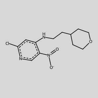 O=[N+]([O-])c1cnc(Cl)cc1NCCC1CCOCC1